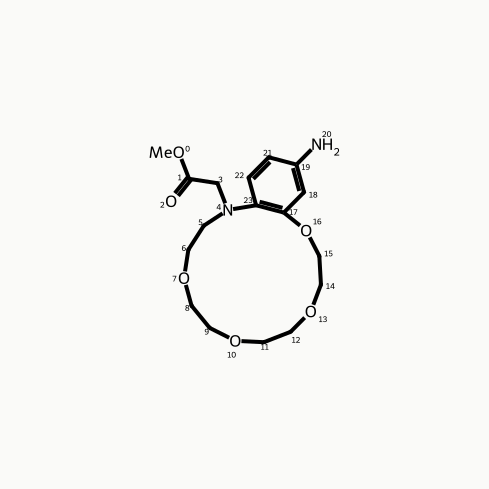 COC(=O)CN1CCOCCOCCOCCOc2cc(N)ccc21